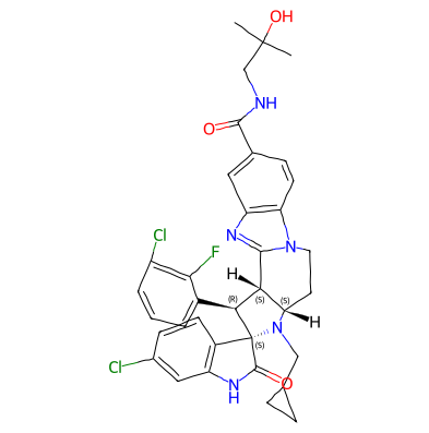 CC(C)(O)CNC(=O)c1ccc2c(c1)nc1n2CC[C@H]2[C@@H]1[C@H](c1cccc(Cl)c1F)[C@]1(C(=O)Nc3cc(Cl)ccc31)N2CC1CC1